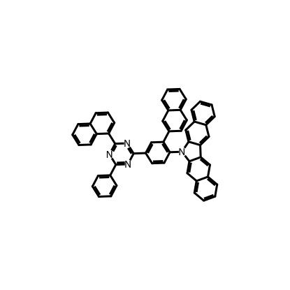 c1ccc(-c2nc(-c3ccc(-n4c5cc6ccccc6cc5c5cc6ccccc6cc54)c(-c4ccc5ccccc5c4)c3)nc(-c3cccc4ccccc34)n2)cc1